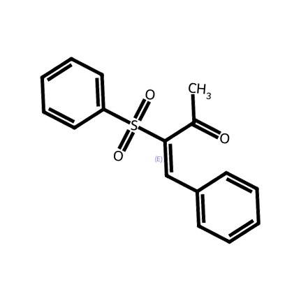 CC(=O)/C(=C\c1ccccc1)S(=O)(=O)c1ccccc1